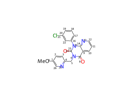 COc1ccc(Cn2c(=O)c3cccnc3n(-c3cccc(Cl)c3)c2=O)nc1